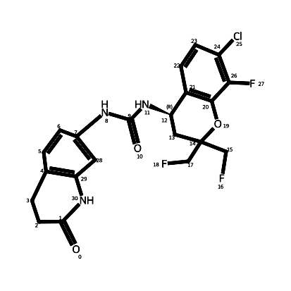 O=C1CCc2ccc(NC(=O)N[C@@H]3CC(CF)(CF)Oc4c3ccc(Cl)c4F)cc2N1